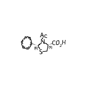 CC(=O)N1[C@@H](c2ccccc2)SC[C@H]1C(=O)O